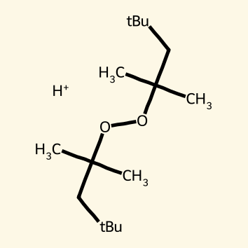 CC(C)(C)CC(C)(C)OOC(C)(C)CC(C)(C)C.[H+]